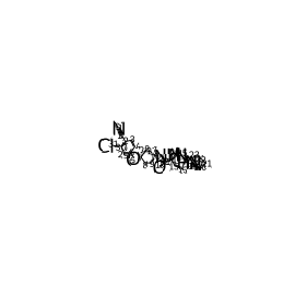 N#Cc1ccc(OC2CCC(NC(=O)c3ccc(N4CC5CC(C4)N5)nn3)CC2)cc1Cl